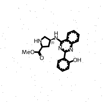 COC(=O)C1C[C@H](Nc2nc(-c3ccccc3O)nc3ccccc23)CN1